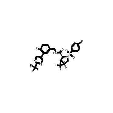 O=C(NCc1ccc(F)c(-c2cnc(C(F)(F)F)nc2)c1)[C@@H]1C2[C@H](CN1S(=O)(=O)c1ccc(F)cc1)C2(F)F